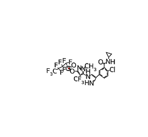 Cn1nc(OS(=O)(=O)C(F)(F)C(F)(F)C(F)(F)C(F)(F)F)c(C(F)(F)F)c1N/C=C(\C=N)c1ccc(Cl)c(C(=O)NC2CC2)c1